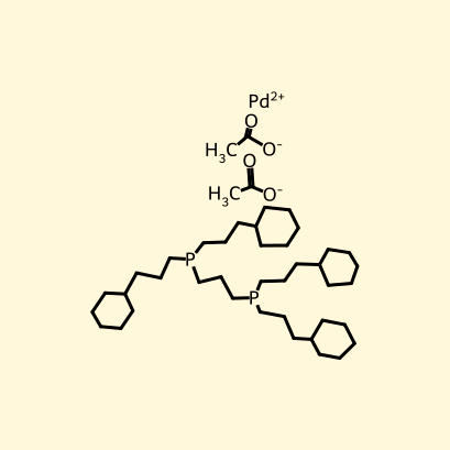 C1CCC(CCCP(CCCC2CCCCC2)CCCP(CCCC2CCCCC2)CCCC2CCCCC2)CC1.CC(=O)[O-].CC(=O)[O-].[Pd+2]